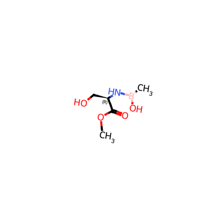 COC(=O)[C@@H](CO)NB(C)O